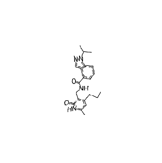 CCCc1cc(C)[nH]c(=O)c1CNC(=O)c1cccc2c1cnn2C(C)C